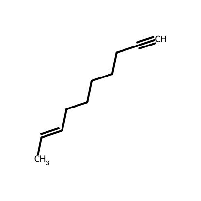 C#CCCCCCC=CC